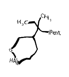 CCCC(C)C(C)(C)C1C[CH2][AlH][O]C1